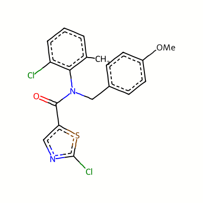 COc1ccc(CN(C(=O)c2cnc(Cl)s2)c2c(C)cccc2Cl)cc1